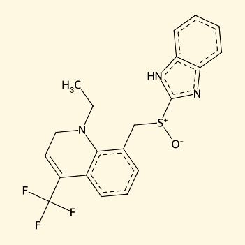 CCN1CC=C(C(F)(F)F)c2cccc(C[S+]([O-])c3nc4ccccc4[nH]3)c21